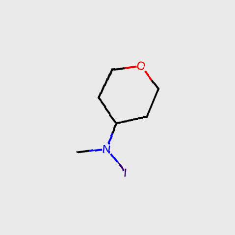 CN(I)C1CCOCC1